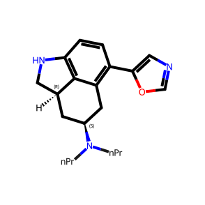 CCCN(CCC)[C@@H]1Cc2c(-c3cnco3)ccc3c2[C@H](CN3)C1